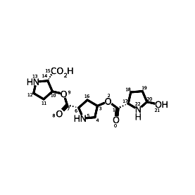 O=C(OC1CN[C@H](C(=O)OC2CCN[C@@H]2C(=O)O)C1)[C@@H]1CCC(O)N1